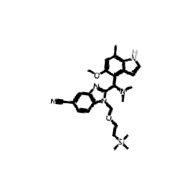 COc1cc(C)c2[nH]ccc2c1C(c1nc2cc(C#N)ccc2n1COCC[Si](C)(C)C)N(C)C